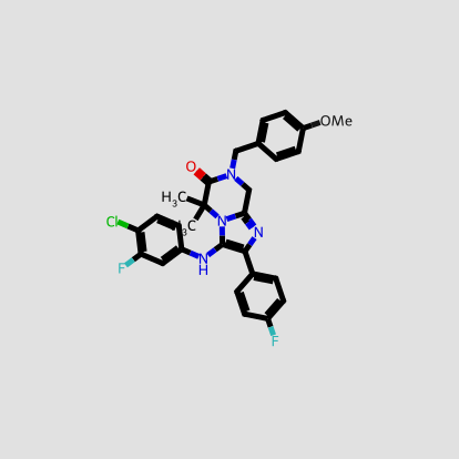 COc1ccc(CN2Cc3nc(-c4ccc(F)cc4)c(Nc4ccc(Cl)c(F)c4)n3C(C)(C)C2=O)cc1